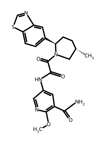 COc1ncc(NC(=O)C(=O)N2C[C@@H](C)CC[C@@H]2c2ccc3scnc3c2)cc1C(N)=O